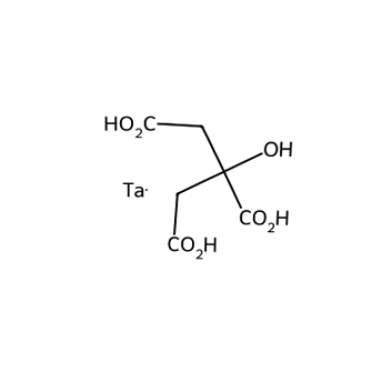 O=C(O)CC(O)(CC(=O)O)C(=O)O.[Ta]